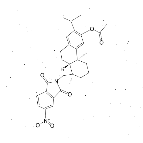 CC(=O)Oc1cc2c(cc1C(C)C)CC[C@H]1[C@](C)(CN3C(=O)c4ccc([N+](=O)[O-])cc4C3=O)CCC[C@]21C